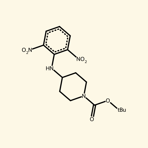 CC(C)(C)OC(=O)N1CCC(Nc2c([N+](=O)[O-])cccc2[N+](=O)[O-])CC1